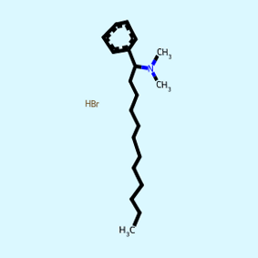 Br.CCCCCCCCCCCC(c1ccccc1)N(C)C